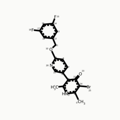 Cc1[nH]c(C)c(-c2ccc(OCc3cc(F)cc(F)c3)nc2)c(=O)c1Br